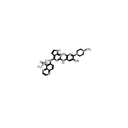 COc1nc(N2CCN(C)CC2)c(C#N)cc1Nc1nc(Nc2ccc3nccnc3c2P(C)(C)=O)c2cc[nH]c2n1